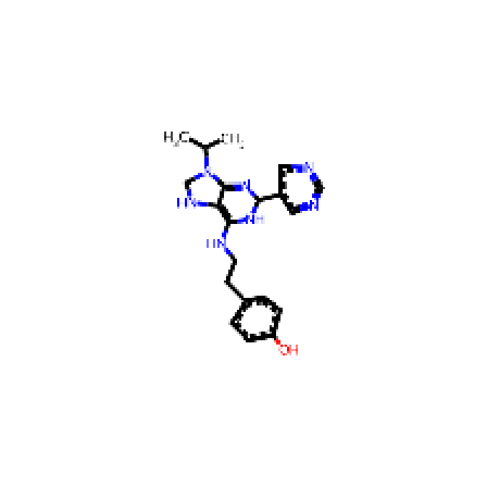 CC(C)N1CNC2=C(NCCc3ccc(O)cc3)NC(c3cncnc3)N=C21